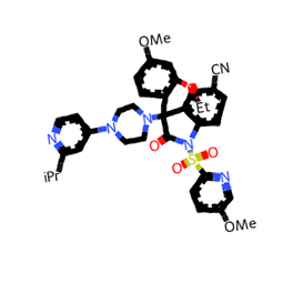 CCOc1cc(OC)ccc1C1(N2CCN(c3ccnc(C(C)C)c3)CC2)C(=O)N(S(=O)(=O)c2ccc(OC)cn2)c2ccc(C#N)cc21